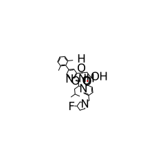 Cc1cccc(C)c1-c1cncc([C@@](O)(CC(=O)O)NC(=O)C(CC(C)C)n2cc(CN3CC[C@@H](F)C3)ccc2=O)c1